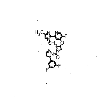 Cc1cn(C)c(-c2cc(OC3CN(C(=O)N4N=CCC4c4cc(F)cc(F)c4)C3)c(F)cn2)n1